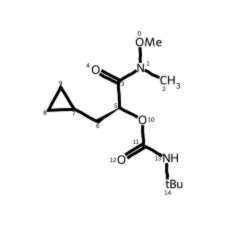 CON(C)C(=O)[C@H](CC1CC1)OC(=O)NC(C)(C)C